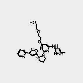 Cc1cc(Nc2cc(OCCOCCO)nc(N3CCC[C@H]3c3cc(-c4ccccn4)no3)n2)n[nH]1